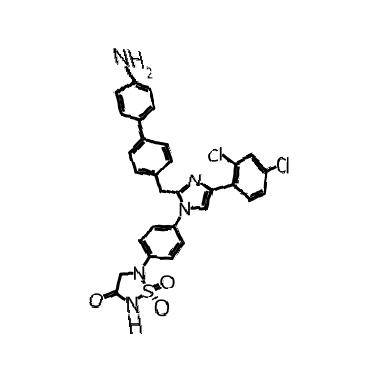 Nc1ccc(-c2ccc(Cc3nc(-c4ccc(Cl)cc4Cl)cn3-c3ccc(N4CC(=O)NS4(=O)=O)cc3)cc2)cc1